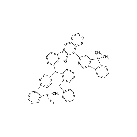 CC1(C)c2ccccc2-c2ccc(-c3c4ccccc4cc4c3oc3c(C(c5ccc6c(c5)C(C)(C)c5ccccc5-6)c5cccc6c5Cc5ccccc5-6)cccc34)cc21